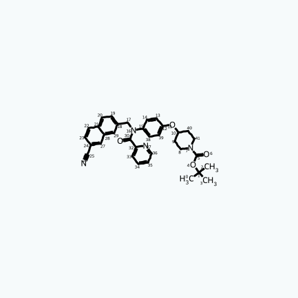 CC(C)(C)OC(=O)N1CCC(Oc2ccc(N(Cc3ccc4ccc(C#N)cc4c3)C(=O)c3ccccn3)cc2)CC1